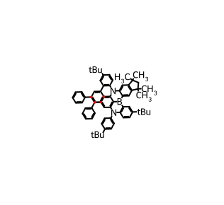 CC(C)(C)c1ccc(N2c3ccc(C(C)(C)C)cc3B3c4cc5c(cc4N(c4ccc(C(C)(C)C)cc4-c4ccccc4)c4cc(C(Cc6ccccc6)c6ccccc6)cc2c43)C(C)(C)CC5(C)C)cc1